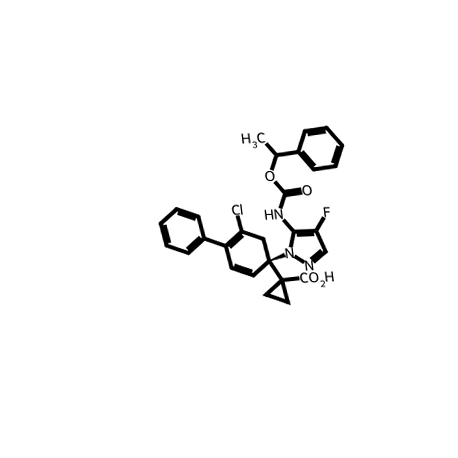 CC(OC(=O)Nc1c(F)cnn1[C@@]1(C2(C(=O)O)CC2)C=CC(c2ccccc2)=C(Cl)C1)c1ccccc1